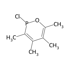 CC1=C(C)C(C)=C(C)P(Cl)O1